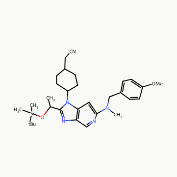 COc1ccc(CN(C)c2cc3c(cn2)nc(C(C)O[Si](C)(C)C(C)(C)C)n3C2CCC(CC#N)CC2)cc1